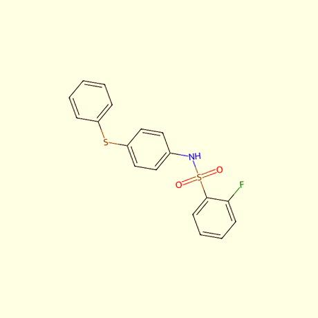 O=S(=O)(Nc1ccc(Sc2ccccc2)cc1)c1ccccc1F